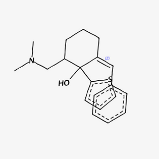 CN(C)CC1CCC/C(=C/c2ccccc2)C1(O)c1cccs1